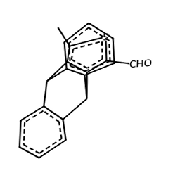 Cc1sc(C=O)c2c1C1c3ccccc3C2c2ccccc21